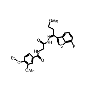 CCOc1ccc(C(=O)NCC(=O)N/N=C(/CCOC)c2csc3c(F)cccc23)cc1OC